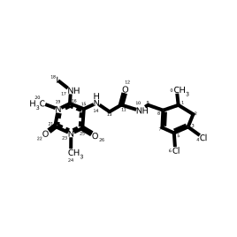 CC1CC(Cl)=C(Cl)C=C1CNC(=O)CNc1c(NI)n(C)c(=O)n(C)c1=O